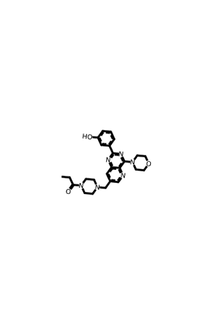 CCC(=O)N1CCN(Cc2cnc3c(N4CCOCC4)nc(-c4cccc(O)c4)nc3c2)CC1